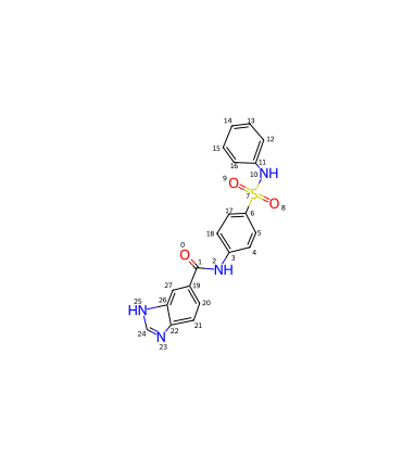 O=C(Nc1ccc(S(=O)(=O)Nc2ccccc2)cc1)c1ccc2nc[nH]c2c1